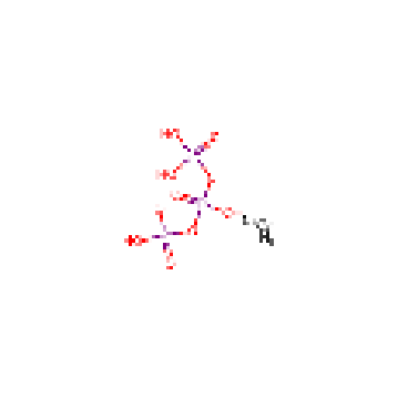 O=P(O)(O)OP(=O)(O)OP(=O)(O)O.[CaH2].[CaH2]